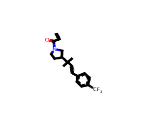 C=CC(=O)N1CCC(C(C)(C)/C=C/c2ccc(C(F)(F)F)cc2)C1